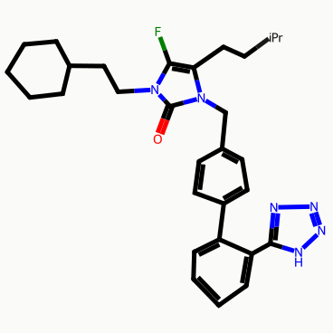 CC(C)CCc1c(F)n(CCC2CCCCC2)c(=O)n1Cc1ccc(-c2ccccc2-c2nnn[nH]2)cc1